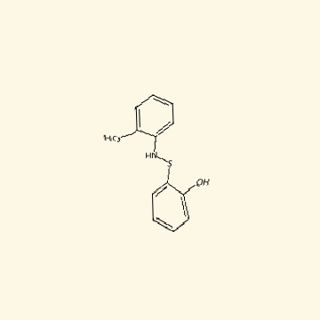 Oc1ccccc1NSc1ccccc1O